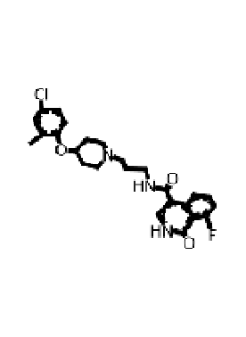 Cc1cc(Cl)ccc1OC1CCN(CCCNC(=O)c2c[nH]c(=O)c3c(F)cccc23)CC1